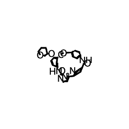 O=C1Nc2ccc(cc2)OCc2cc(ccc2OC2CCCOC2)Nc2nccc(n2)-c2ccc1cc2[N+](=O)[O-]